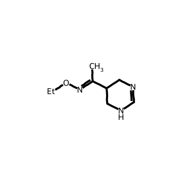 CCON=C(C)C1CN=CNC1